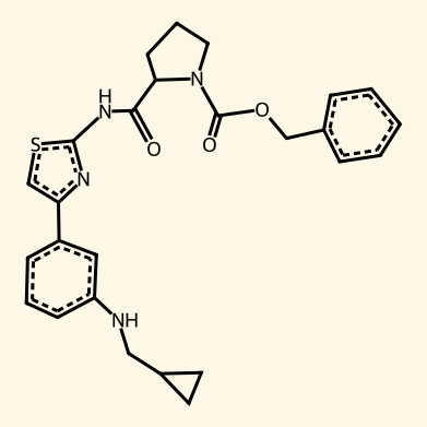 O=C(Nc1nc(-c2cccc(NCC3CC3)c2)cs1)C1CCCN1C(=O)OCc1ccccc1